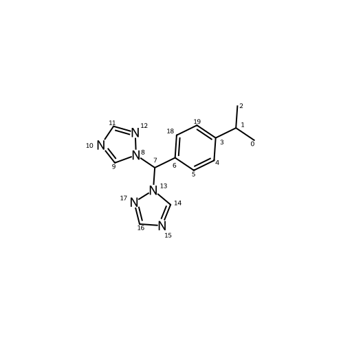 CC(C)c1ccc(C(n2cncn2)n2cncn2)cc1